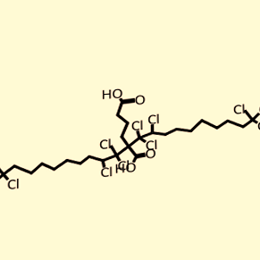 O=C(O)CCCC(C(=O)O)(C(Cl)(Cl)C(Cl)CCCCCCCC(Cl)(Cl)Cl)C(Cl)(Cl)C(Cl)CCCCCCCC(Cl)(Cl)Cl